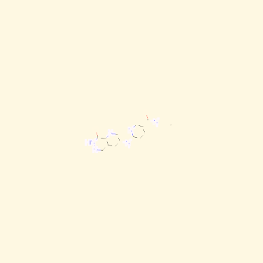 CC1(F)CCN(C(=O)c2cnc3c(c2)CCCN3c2cnc3c(=O)[nH]ncc3c2)CC1